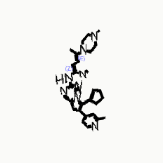 C=N/C(=C\C=C(/C)N1CCN(C)CC1)Nc1ncc2cc(-c3ccnc(C)c3)c(C3=CCCC3)n2n1